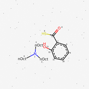 CCCCCCCCN(CCCCCCCC)CCCCCCCC.O=C(S)c1ccccc1O